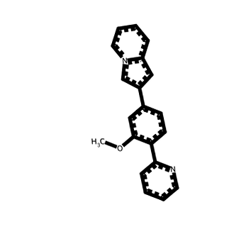 COc1cc(-c2cc3ccccn3c2)ccc1-c1ccccn1